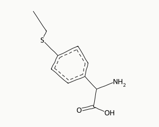 CCSc1ccc(C(N)C(=O)O)cc1